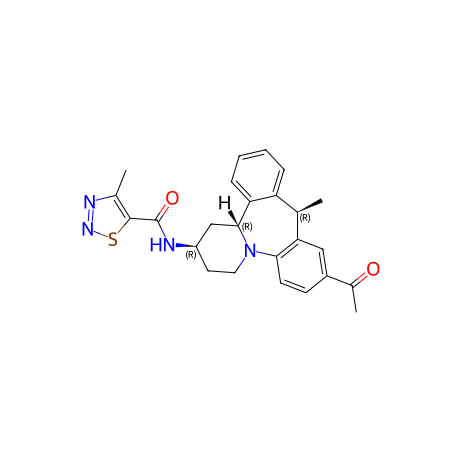 CC(=O)c1ccc2c(c1)[C@H](C)c1ccccc1[C@H]1C[C@H](NC(=O)c3snnc3C)CCN21